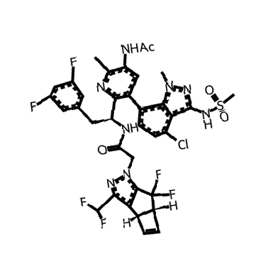 CC(=O)Nc1cc(-c2ccc(Cl)c3c(NS(C)(=O)=O)nn(C)c23)c([C@H](Cc2cc(F)cc(F)c2)NC(=O)Cn2nc(C(F)F)c3c2C(F)(F)[C@@H]2C=C[C@H]32)nc1C